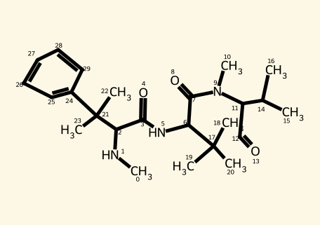 CNC(C(=O)NC(C(=O)N(C)C(C=O)C(C)C)C(C)(C)C)C(C)(C)c1ccccc1